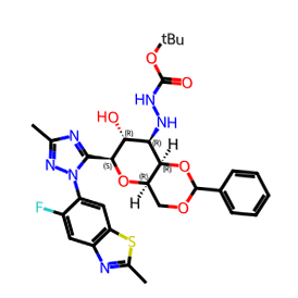 Cc1nc([C@@H]2O[C@@H]3COC(c4ccccc4)O[C@@H]3[C@H](NNC(=O)OC(C)(C)C)[C@H]2O)n(-c2cc3sc(C)nc3cc2F)n1